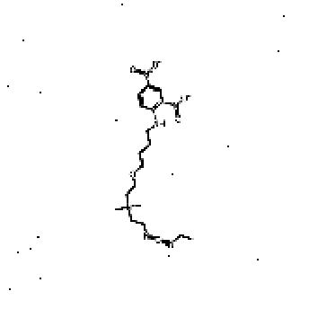 CCN=C=NCC[N+](C)(C)CCOCCCCNc1ccc([N+](=O)[O-])cc1[N+](=O)[O-]